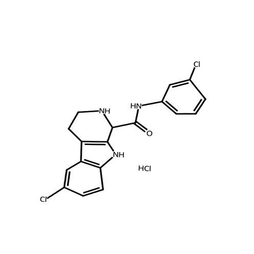 Cl.O=C(Nc1cccc(Cl)c1)C1NCCc2c1[nH]c1ccc(Cl)cc21